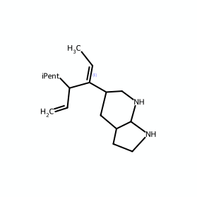 C=CC(/C(=C\C)C1CNC2NCCC2C1)C(C)CCC